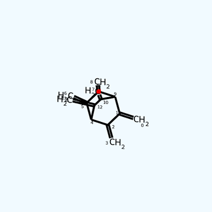 C=C1C(=C)C2C(=C)C(=C)C1C(=C)C2=C